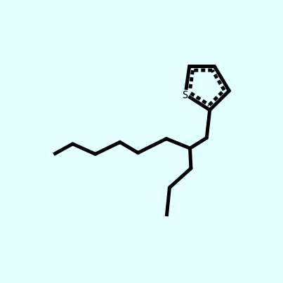 CCCCCCC(CCC)Cc1cccs1